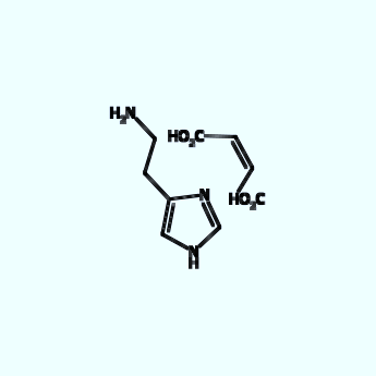 NCCc1c[nH]cn1.O=C(O)/C=C\C(=O)O